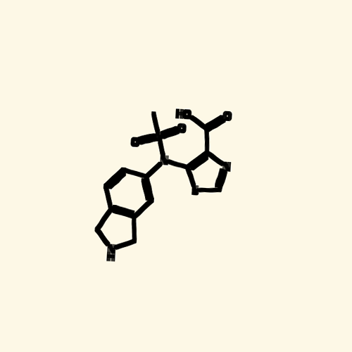 CS(=O)(=O)N(c1ccc2c(c1)CNC2)c1scnc1C(=O)O